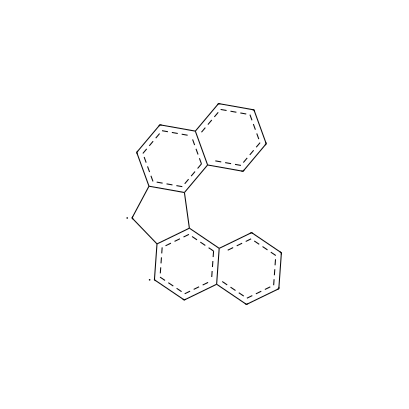 [c]1cc2ccccc2c2c1[CH]c1ccc3ccccc3c1-2